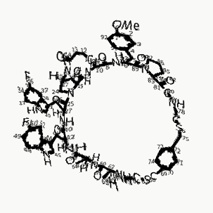 COc1ccc(C[C@@H]2NC(=O)[C@@H]3CCCC(=O)N[C@H]4C[C@@H](C(=O)N3)N(C4)C(=O)[C@H](Cc3c[nH]c4ccc(F)cc34)NC(=O)[C@H](Cc3c[nH]c4ccc(F)cc34)NC(=O)[C@@H](C)NC(=O)[C@H](C)NCCSCc3ccc(cc3)CSCCNCC(=O)[C@]3(C)CCCN3C2=O)cc1